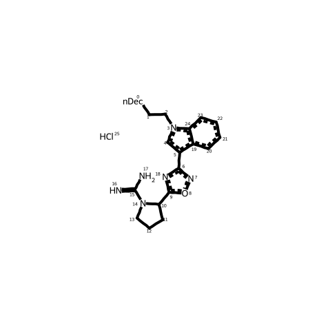 CCCCCCCCCCCCn1cc(-c2noc(C3CCCN3C(=N)N)n2)c2ccccc21.Cl